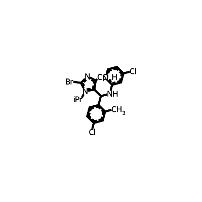 Cc1cc(Cl)ccc1C(Nc1cc(Cl)ccn1)c1c(C(=O)O)nc(Br)n1C(C)C